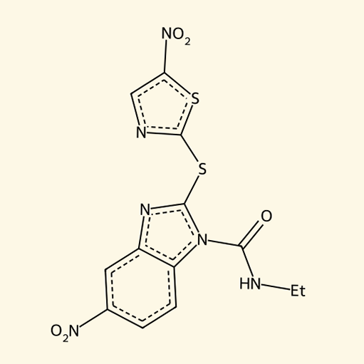 CCNC(=O)n1c(Sc2ncc([N+](=O)[O-])s2)nc2cc([N+](=O)[O-])ccc21